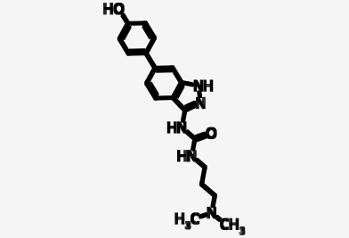 CN(C)CCCNC(=O)Nc1n[nH]c2cc(-c3ccc(O)cc3)ccc12